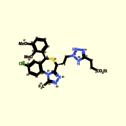 CCOC(=O)CCC1=NNN(CC[C@H]2S[C@H](c3cccc(OC)c3OC)c3cc(Cl)ccc3-n3c2nnc3C(F)(F)F)N1